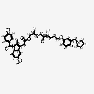 COc1ccc2c(c1)c(CC(=O)OCC(C)SCC(=O)NCCCOc1cccc(CN3CCCC3)c1)c(C)n2C(=O)c1ccc(Cl)cc1